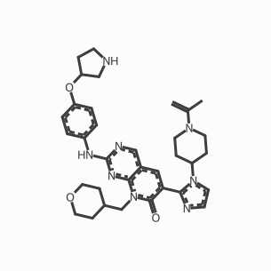 C=C(C)N1CCC(n2ccnc2-c2cc3cnc(Nc4ccc(OC5CCNC5)cc4)nc3n(CC3CCOCC3)c2=O)CC1